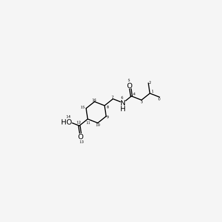 CC(C)CC(=O)NCC1CCC(C(=O)O)CC1